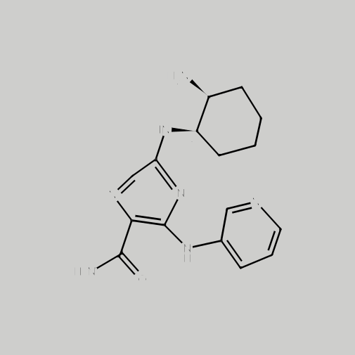 NC(=O)c1ncc(N[C@@H]2CCCC[C@@H]2N)nc1Nc1cccnc1